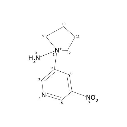 N[N+]1(c2cncc([N+](=O)[O-])c2)CCCC1